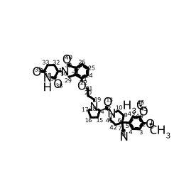 COc1ccc(C2(C#N)CCN(C(=O)[C@H]3CCCN3CCCOc3cccc4c3CN(C3CCC(=O)NC3=O)C4=O)CC2)cc1OC